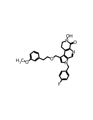 COc1cccc(CCOCc2cn(Cc3ccc(F)cc3)c3cnc4c(c23)CCN(O)C4=O)c1